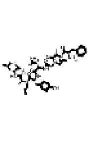 CCCN(CC(=O)N[C@@H](CC(N)=O)C(=O)N[C@@H](Cc1ccc(O)cc1)C(=O)N(CCC)[C@@H](C)C(=O)N[C@@H](CC(C)C)C(=O)O)C(=O)[C@H](C)NC(=O)[C@@H](N)Cc1ccccc1